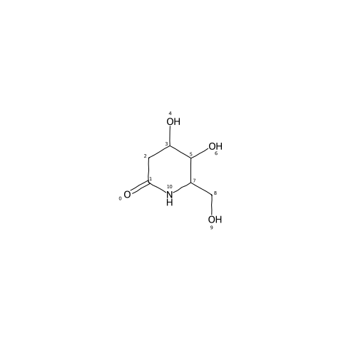 O=C1CC(O)C(O)C(CO)N1